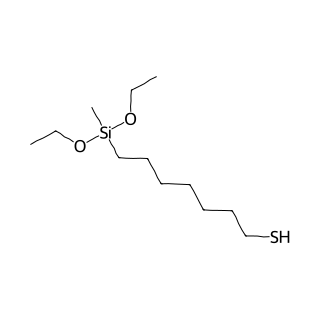 CCO[Si](C)(CCCCCCCS)OCC